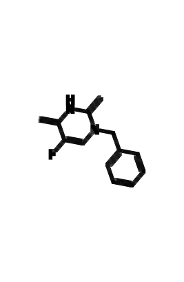 C=C1NC(=C)N(Cc2ccccc2)C=C1F